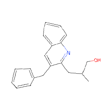 CC(CO)Cc1nc2ccccc2cc1Cc1ccccc1